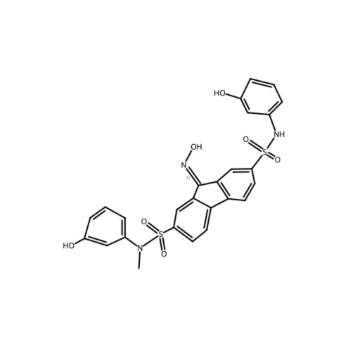 CN(c1cccc(O)c1)S(=O)(=O)c1ccc2c(c1)/C(=N/O)c1cc(S(=O)(=O)Nc3cccc(O)c3)ccc1-2